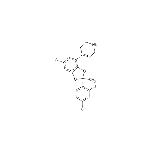 CC1(c2ccc(Cl)cc2F)Oc2cc(F)cc(C3=CCNCC3)c2O1